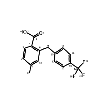 Cc1ccc(C(=O)O)c(Cc2ccc(C(F)(F)F)cc2)c1